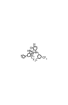 Cc1cc(-n2ccnc2)cc2[nH]c(-c3c(NCc4cc(C(F)(F)F)cc(C(F)(F)F)c4)cc[nH]c3=O)nc12